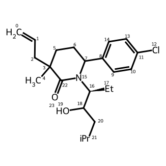 C=CCC1(C)CCC(c2ccc(Cl)cc2)N([C@@H](CC)C(O)CC(C)C)C1=O